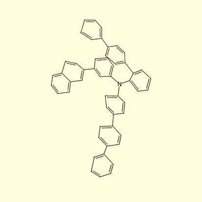 c1ccc(-c2ccc(-c3ccc(N(c4cccc(-c5ccc6ccccc6c5)c4)c4ccccc4-c4ccc(-c5ccccc5)cc4)cc3)cc2)cc1